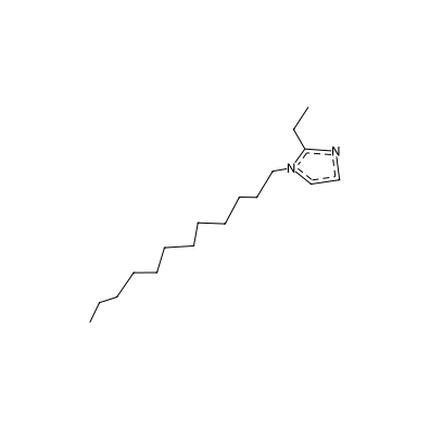 CCCCCCCCCCCCn1ccnc1CC